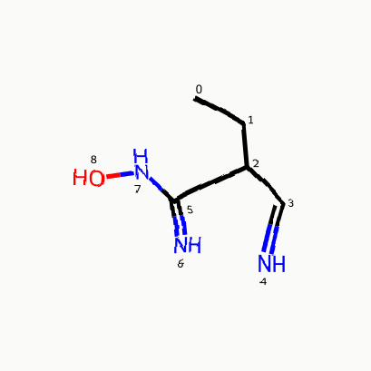 CCC(C=N)C(=N)NO